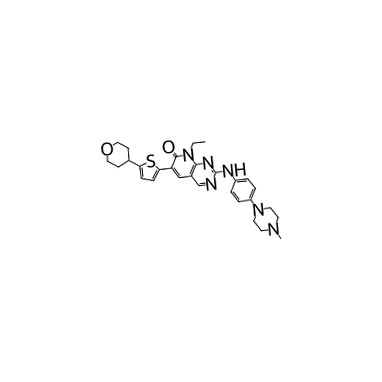 CCn1c(=O)c(-c2ccc(C3CCOCC3)s2)cc2cnc(Nc3ccc(N4CCN(C)CC4)cc3)nc21